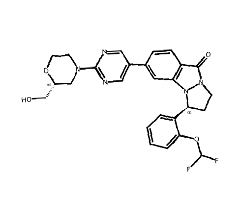 O=c1c2ccc(-c3cnc(N4CCO[C@@H](CO)C4)nc3)cc2n2n1CC[C@H]2c1ccccc1OC(F)F